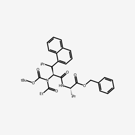 CCC(=O)N(C(=O)OC(C)(C)C)[C@H](C(=O)N[C@H](C(=O)OCc1ccccc1)C(C)C)C(c1cccc2ccccc12)C(C)C